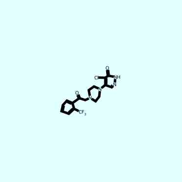 O=C(CN1CCN(c2cn[nH]c(=O)c2Cl)CC1)c1ccccc1C(F)(F)F